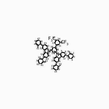 Cc1ccccc1-c1ccc2c(c1)c1cc(-c3ccccc3C)ccc1n2-c1cc(-c2cc(C(F)(F)F)cc(C(F)(F)F)c2)cc(-n2c3ccc(-c4ccccc4C)cc3c3cc(-c4ccccc4C)ccc32)n1